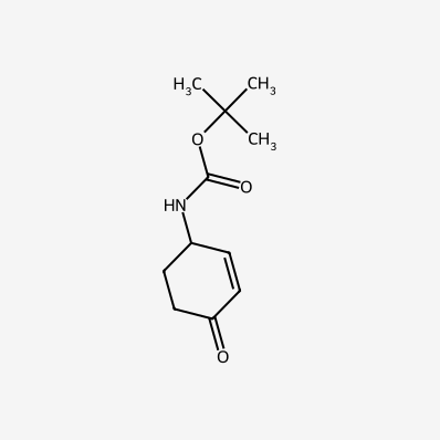 CC(C)(C)OC(=O)NC1C=CC(=O)CC1